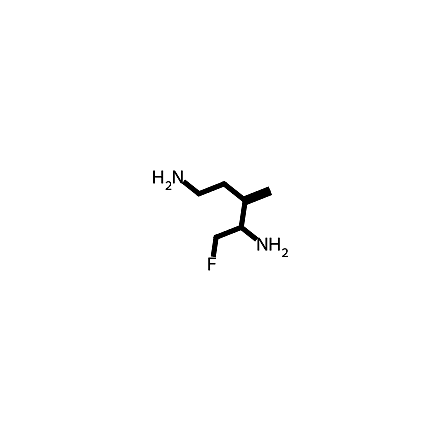 C=C(CCN)C(N)CF